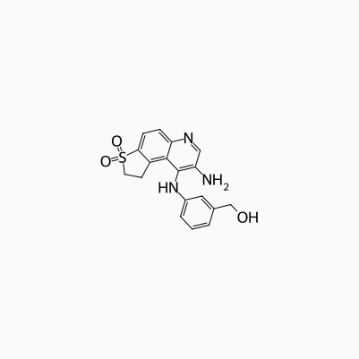 Nc1cnc2ccc3c(c2c1Nc1cccc(CO)c1)CCS3(=O)=O